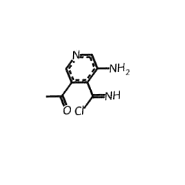 CC(=O)c1cncc(N)c1C(=N)Cl